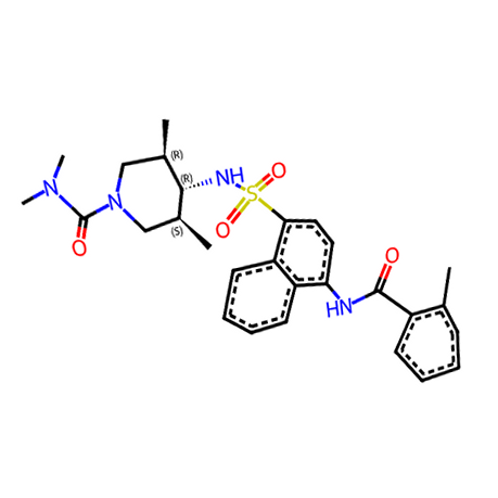 Cc1ccccc1C(=O)Nc1ccc(S(=O)(=O)N[C@H]2[C@H](C)CN(C(=O)N(C)C)C[C@@H]2C)c2ccccc12